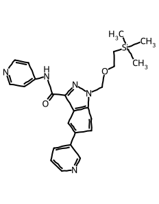 C[Si](C)(C)CCOCn1nc(C(=O)Nc2ccncc2)c2cc(-c3cccnc3)ccc21